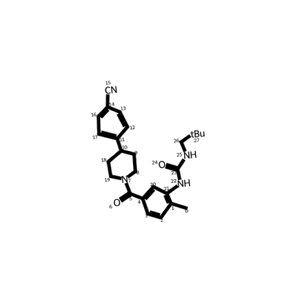 Cc1ccc(C(=O)N2CCC(c3ccc(C#N)cc3)CC2)cc1NC(=O)NCC(C)(C)C